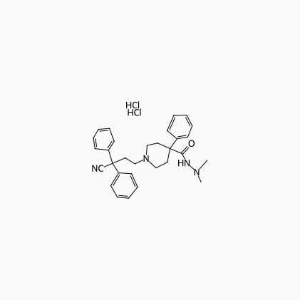 CN(C)NC(=O)C1(c2ccccc2)CCN(CCC(C#N)(c2ccccc2)c2ccccc2)CC1.Cl.Cl